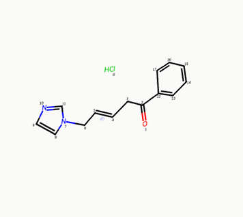 Cl.O=C(C/C=C/Cn1ccnc1)c1ccccc1